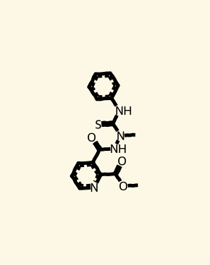 COC(=O)c1ncccc1C(=O)NN(C)C(=S)Nc1ccccc1